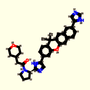 CCC1(CC)c2ccc(-c3cnc([C@@H]4CCCN4C(=O)CC4CCOCC4)[nH]3)cc2Oc2cc3ccc(-c4cnc[nH]4)cc3cc21